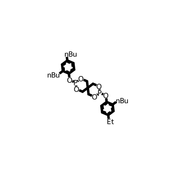 CCCCc1ccc(OP2OCC3(COP(Oc4ccc(CC)cc4CCCC)OC3)CO2)c(CCCC)c1